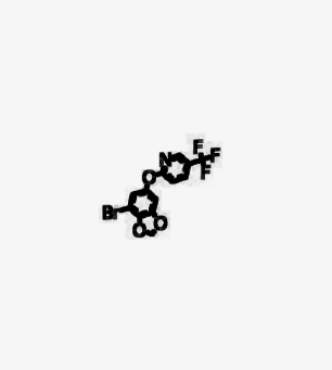 FC(F)(F)c1ccc(Oc2cc(Br)c3c(c2)OCO3)nc1